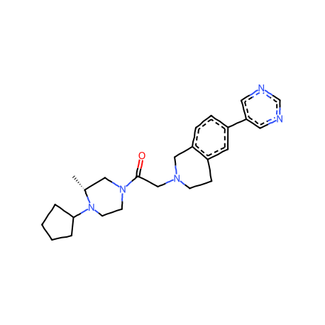 C[C@@H]1CN(C(=O)CN2CCc3cc(-c4cncnc4)ccc3C2)CCN1C1CCCC1